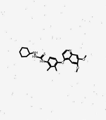 COc1cc2nccc(Oc3ccc(NC(=S)NNC4CCCCC4)c(C)c3C)c2cc1OC